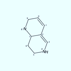 C1=CC2=CNCCC2[N]C1